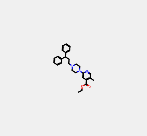 CCOC(=O)c1cc(N2CCN(CCC(c3ccccc3)c3ccccc3)CC2)ncc1C